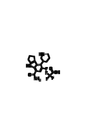 NC(=O)c1cc(F)c(C2CCCNC2)c2c3c([nH]c12)CCC3.O=C(O)C(F)(F)F